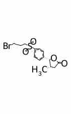 C[C@H]1CC(=O)O[C@H]1c1ccc(S(=O)(=O)CCCBr)cc1